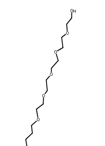 CCCCOCCOCCOCCOCCOCCO